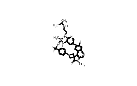 CC(C)NCCOc1ncc(-c2cc3c4c(cnc3cc2F)N(C)C(=O)C42CN(c3ccc(C(F)(F)F)cc3)C2)cc1NS(C)(=O)=O